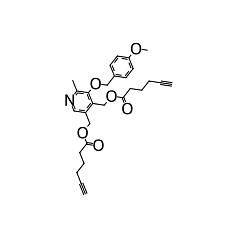 C#CCCCC(=O)OCc1cnc(C)c(OCc2ccc(OC)cc2)c1COC(=O)CCCC#C